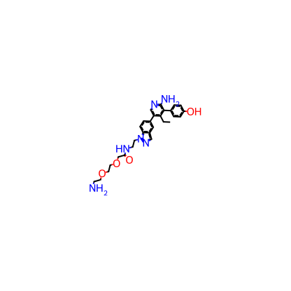 CCc1c(-c2ccc3c(cnn3CCNC(=O)COCCOCCN)c2)cnc(N)c1-c1ccc(O)cc1